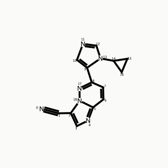 N#Cc1cnc2ccc(-c3cncn3C3CC3)nn12